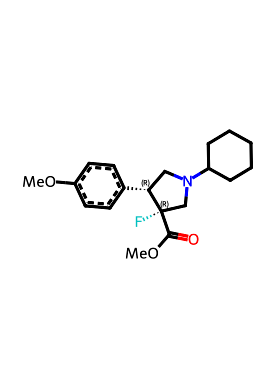 COC(=O)[C@]1(F)CN(C2CCCCC2)C[C@H]1c1ccc(OC)cc1